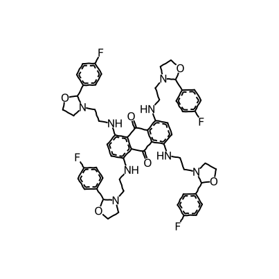 O=C1c2c(NCCN3CCOC3c3ccc(F)cc3)ccc(NCCN3CCOC3c3ccc(F)cc3)c2C(=O)c2c(NCCN3CCOC3c3ccc(F)cc3)ccc(NCCN3CCOC3c3ccc(F)cc3)c21